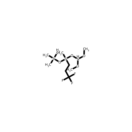 CO[SiH](OC)O[Si](C)(CCC(F)(F)F)O[Si](C)(C)C